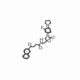 O=C(CCC(=O)c1ccc2ccccc2c1)NCC1CN(c2ccc(N3CCCC3)c(F)c2)C(=O)O1